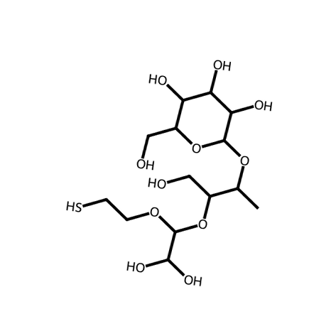 CC(OC1OC(CO)C(O)C(O)C1O)C(CO)OC(OCCS)C(O)O